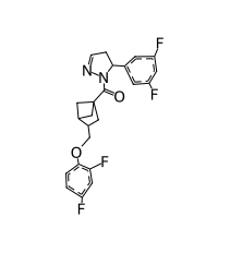 O=C(N1N=CCC1c1cc(F)cc(F)c1)C12CC(COc3ccc(F)cc3F)C(C1)C2